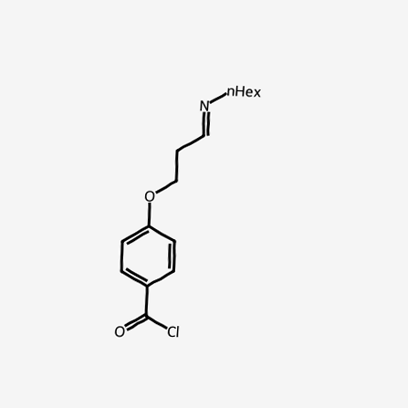 CCCCCCN=CCCOc1ccc(C(=O)Cl)cc1